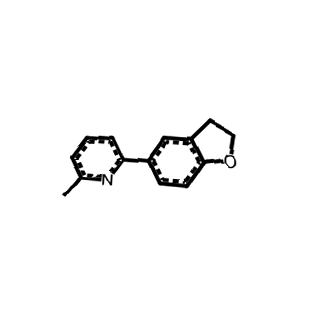 Cc1cccc(-c2ccc3c(c2)CCO3)n1